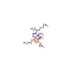 CCCCC(C)C1=NOC(C(=O)OCC)(C(=O)OCC)C1(C)C